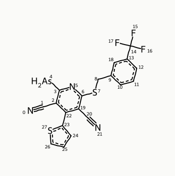 N#Cc1c([AsH2])nc(SCc2cccc(C(F)(F)F)c2)c(C#N)c1-c1cccs1